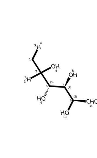 [3H]CC([3H])(O)[C@@H](O)[C@@H](O)[C@H](O)C=O